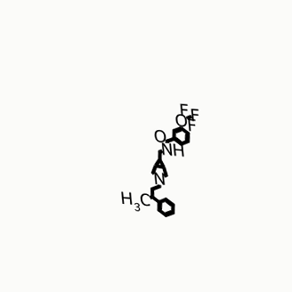 CC(CCN1CC2C(CNC(=O)c3cccc(OC(F)(F)F)c3)C2C1)c1ccccc1